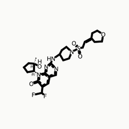 C[C@@]1(O)CCC[C@H]1n1c(=O)c(C(F)F)cc2cnc(NC3CCN(S(=O)(=O)CC=C4CCOCC4)CC3)nc21